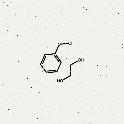 ClOc1ccccc1.OCCO